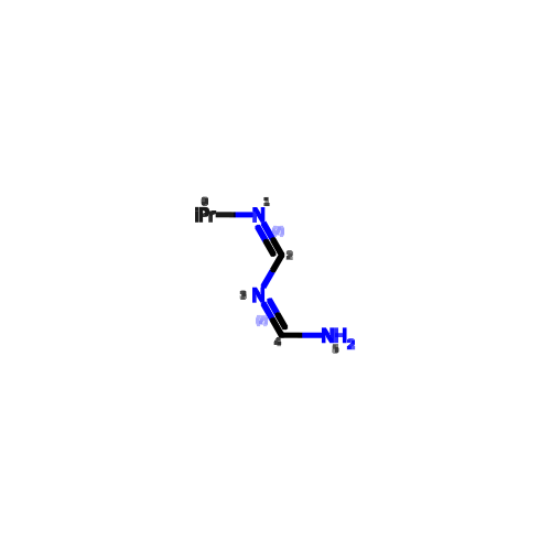 CC(C)/N=C\N=C/N